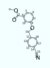 COC(=O)c1cccc(OCc2ccc(C#N)cc2)c1